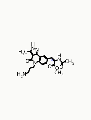 COC(=O)/C(=C\c1ccc2c(c1)c1n[nH]c(C)c1c(=O)n2CCCN)NC(C)=O